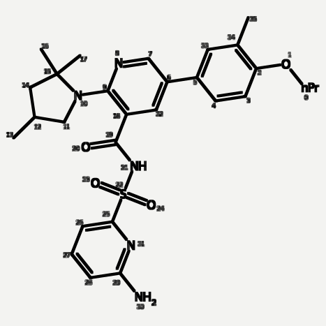 CCCOc1ccc(-c2cnc(N3CC(C)CC3(C)C)c(C(=O)NS(=O)(=O)c3cccc(N)n3)c2)cc1C